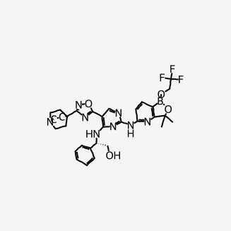 CC1(C)OB(OCC(F)(F)F)c2ccc(Nc3ncc(-c4nc(C56CCN(CC5)CC6)no4)c(N[C@H](CO)c4ccccc4)n3)nc21